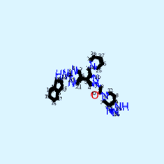 O=C(Cn1cc(-c2cnc(NC3Cc4ccccc4C3)nc2)c(CN2CCCCC2)n1)N1CCc2[nH]nnc2C1